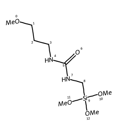 COCCCNC(=O)NC[Si](OC)(OC)OC